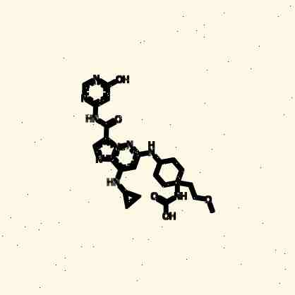 COCCC1(NC(=O)O)CCC(Nc2cc(NC3CC3)c3ncc(C(=O)Nc4cc(O)ncn4)n3n2)CC1